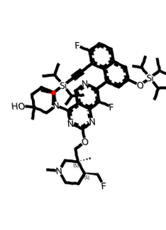 CC(C)[Si](C#Cc1c(F)ccc2cc(O[Si](C(C)C)(C(C)C)C(C)C)cc(-c3ncc4c(N5CCCC(C)(O)C5)nc(OC[C@]5(C)CN(C)CC[C@@H]5CF)nc4c3F)c12)(C(C)C)C(C)C